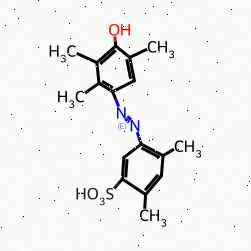 Cc1cc(C)c(S(=O)(=O)O)cc1/N=N/c1cc(C)c(O)c(C)c1C